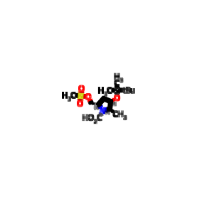 C[C@@H]1[C@H](O[Si](C)(C)C(C)(C)C)C[C@@H](COS(C)(=O)=O)N1C(=O)O